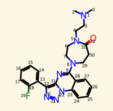 CN(C)CCN1CCN(c2nc3c(-c4ccccc4F)nnn3c3ccccc23)CCC1=O